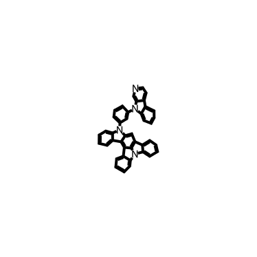 c1cc(-n2c3ccccc3c3ccncc32)cc(-n2c3ccccc3c3c4c5ccccc5n5c6ccccc6c(cc32)c45)c1